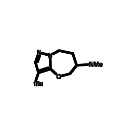 CNC1CCn2ncc(C(C)(C)C)c2OC1